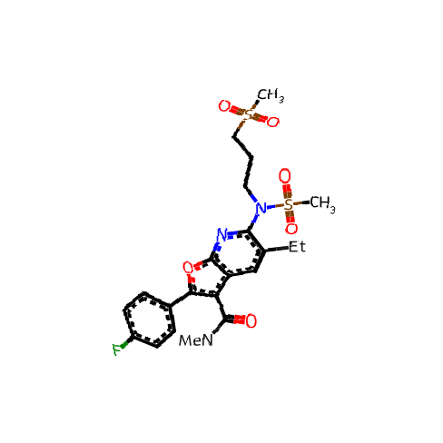 CCc1cc2c(C(=O)NC)c(-c3ccc(F)cc3)oc2nc1N(CCCS(C)(=O)=O)S(C)(=O)=O